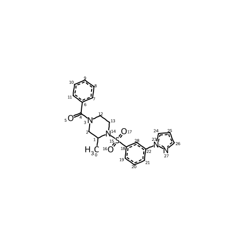 CC1CN(C(=O)c2ccccc2)CCN1S(=O)(=O)c1cccc(-n2cccn2)c1